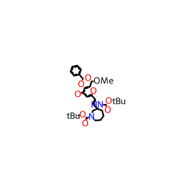 COC(=O)c1oc(/C=C/C2(NC(=O)OC(C)(C)C)CCCCN(C(=O)OC(C)(C)C)C2)cc(=O)c1OCc1ccccc1